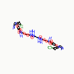 Cc1cc(Cl)cc2c1C[C@H](N1CCC[C@@H](N(C)C)C1)[C@H]2Oc1ccc(S(=O)(=O)NCCOCCOCCNC(=O)NCCCCNC(=O)NCCOCCOCCNS(=O)(=O)c2ccc(O[C@H]3c4cc(Cl)cc(C)c4C[C@@H]3N3CCC[C@@H](N(C)C)C3)cc2)cc1